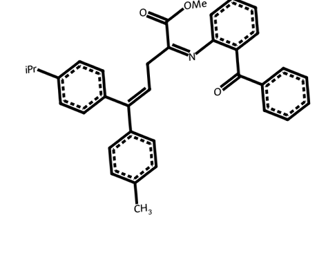 COC(=O)C(CC=C(c1ccc(C)cc1)c1ccc(C(C)C)cc1)=Nc1ccccc1C(=O)c1ccccc1